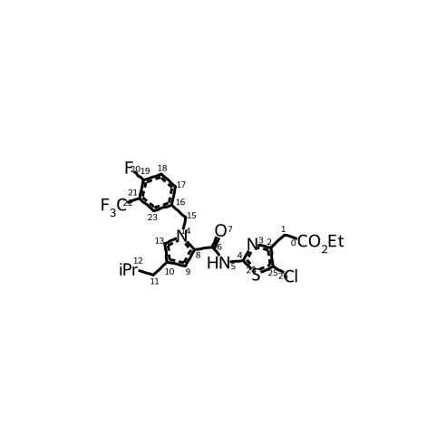 CCOC(=O)Cc1nc(NC(=O)c2cc(CC(C)C)cn2Cc2ccc(F)c(C(F)(F)F)c2)sc1Cl